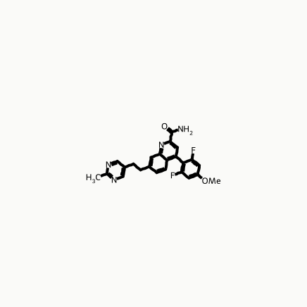 COc1cc(F)c(-c2cc(C(N)=O)nc3cc(CCc4cnc(C)nc4)ccc23)c(F)c1